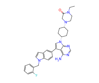 CCN1CCN([C@H]2CC[C@@H](n3cc(-c4ccc5c(ccn5Cc5ccccc5F)c4)c4c(N)ncnc43)CC2)CC1=O